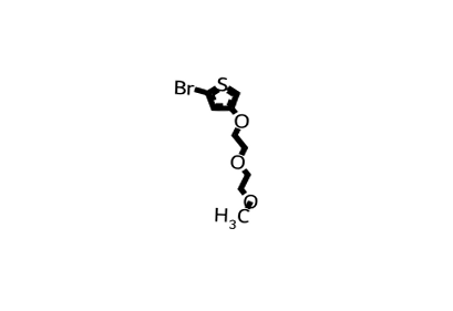 COCCOCCOc1csc(Br)c1